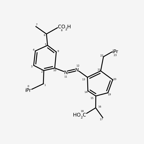 CC(C)Cc1ccc(C(C)C(=O)O)cc1/N=N/c1cc(C(C)C(=O)O)ccc1CC(C)C